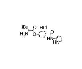 CCC(C)C(N)C(=O)Oc1ccc(C(=O)Nc2ccc[nH]2)cc1.Cl